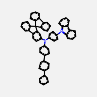 c1ccc(-c2ccc(-c3ccc(N(c4ccc(-n5c6ccccc6c6ccccc65)cc4)c4ccc5c(c4)C4(c6ccccc6-c6ccccc64)c4ccccc4-5)cc3)cc2)cc1